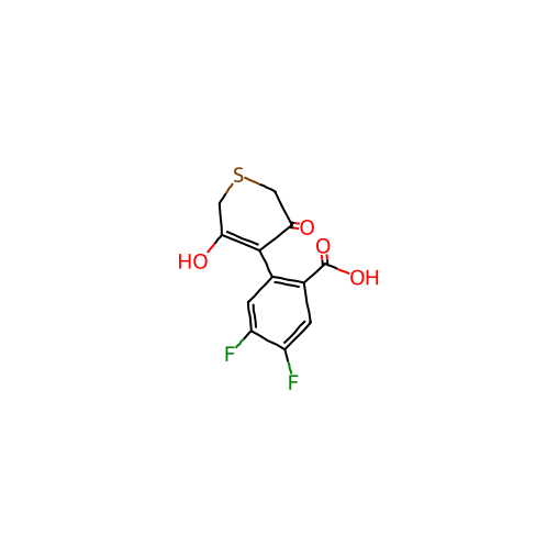 O=C1CSCC(O)=C1c1cc(F)c(F)cc1C(=O)O